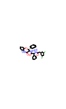 O=C(Cc1cc(F)cc(F)c1)N[C@H](C(=O)N[C@@H]1C(=O)Nc2ccccc2O[C@@H]1c1ccccc1)c1ccccc1